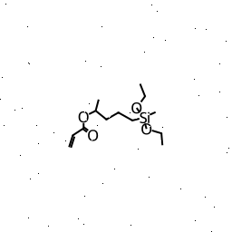 C=CC(=O)OC(C)CCC[Si](C)(OCC)OCC